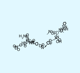 CCC[N+](C)(C)CC(O)CCCC(CCc1nc(C(=O)O)c(CCCOc2ccc(C#CCN(C)C(=O)OCc3ccc(NC(=O)[C@H](CCCNC(N)=O)NC(=O)CNC(=O)CCOCCN4C(=O)C=CC4=O)cc3)cc2F)s1)c1cc(C)c(Nc2nc3ccccc3s2)nn1